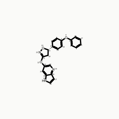 c1ccc(Oc2ccc([C@@H]3CC(Oc4cnc5cc[nH]c5c4)=NO3)cc2)cc1